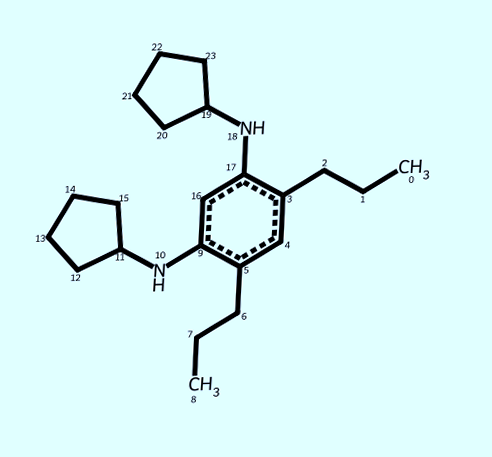 CCCc1cc(CCC)c(NC2CCCC2)cc1NC1CCCC1